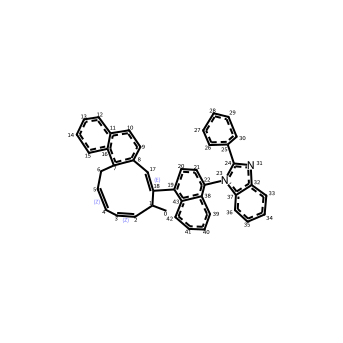 CC1/C=C\C=C/Cc2c(ccc3ccccc23)/C=C\1c1ccc(-n2c(-c3ccccc3)nc3ccccc32)c2ccccc12